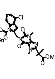 COC(=O)C(C)(C)c1nc2c(c(=O)n(Cc3cc4c(Cl)cccc4n3C(=O)OC(C)(C)C)c(=O)n2C)n1C